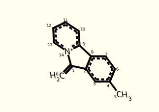 C=C1c2cc(C)ccc2-c2cccc[n+]21